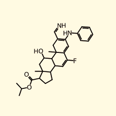 CC(C)OC(=O)C1CCC2C3C=C(F)C4=CC(Nc5ccccc5)=C(C=N)CC4(C)C3C(O)CC12C